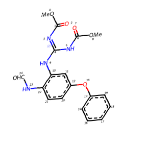 COC(=O)/N=C(\NC(=O)OC)Nc1cc(Oc2ccccc2)ccc1NC=O